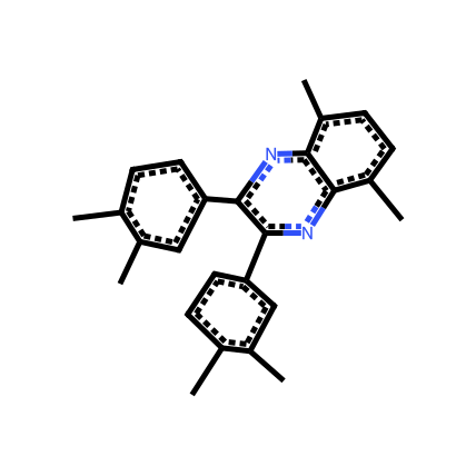 Cc1ccc(-c2nc3c(C)ccc(C)c3nc2-c2ccc(C)c(C)c2)cc1C